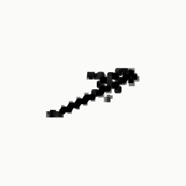 CCCCCCCCCCCCCCCCCCOCC(COC(=O)N(CC[N+](C)(C)C)C(=O)OC)OC(=O)OC.[I-]